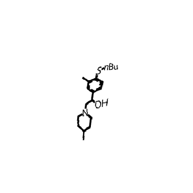 CCCCSc1ccc(C(O)CN2CCC(C)CC2)cc1C